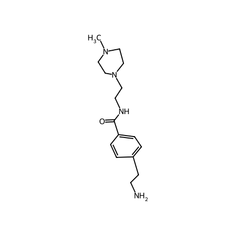 CN1CCN(CCNC(=O)c2ccc(CCN)cc2)CC1